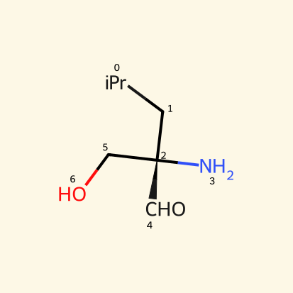 CC(C)C[C@@](N)(C=O)CO